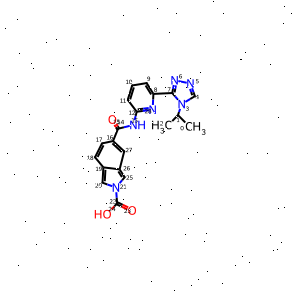 CC(C)n1cnnc1-c1cccc(NC(=O)c2ccc3cn(C(=O)O)cc3c2)n1